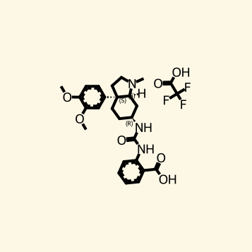 COc1ccc([C@@]23CC[C@@H](NC(=O)Nc4ccccc4C(=O)O)C[C@@H]2N(C)CC3)cc1OC.O=C(O)C(F)(F)F